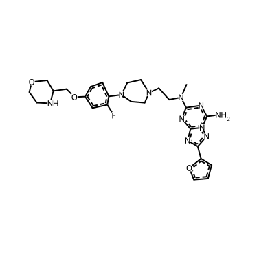 CN(CCN1CCN(c2ccc(OCC3COCCN3)cc2F)CC1)c1nc(N)n2nc(-c3ccco3)nc2n1